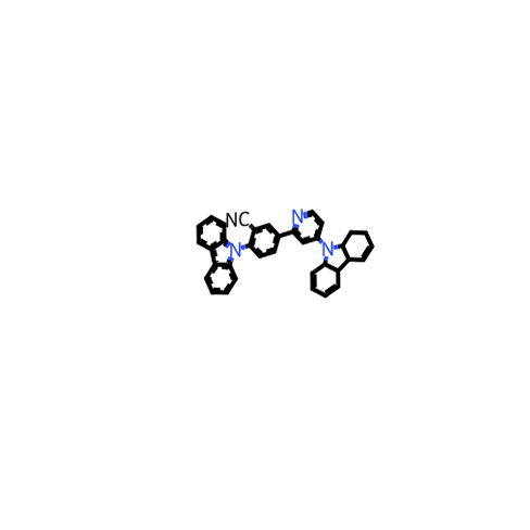 N#Cc1cc(-c2cc(N3C4C=CC=CC4C4C=CCCC43)ccn2)ccc1-n1c2ccccc2c2ccccc21